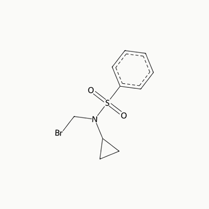 O=S(=O)(c1ccccc1)N(CBr)C1CC1